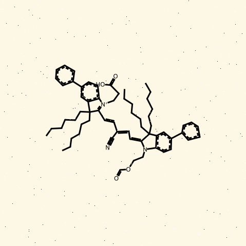 CCCCCCC1(CCCCCC)C(/C=C/C(C#N)=C/C=C2/N(CCOC=O)c3ccc(-c4ccccc4)cc3C2(CCCCCC)CCCCCC)=[N+](CCC(=O)O)c2ccc(-c3ccccc3)cc21